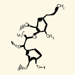 C=CCc1cc(C)c(OC(C)C(OC(C)=O)c2ccc(O)c(OC)c2)c(OC)c1